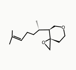 CC(C)=CCC[C@H](C)[C@H]1COCC[C@]12CO2